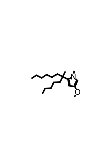 CCCCCCC(C)(CCCCC)c1cc(OC)cn1C